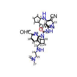 COC1CCCC1Nc1cc(NC(=O)N2c3nc(C=O)ccc3C3(CNCCN(C)C)CC2C3)ncc1C#N